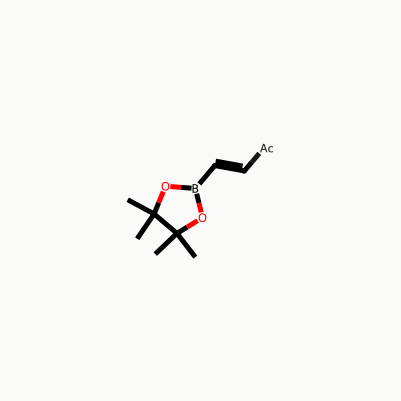 CC(=O)/C=C/B1OC(C)(C)C(C)(C)O1